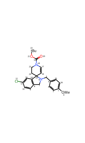 COc1ccc(CN2Cc3ccc(Cl)cc3C23C=CN(C(=O)OC(C)(C)C)CC3)cc1